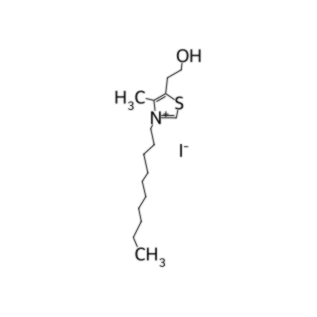 CCCCCCCCCC[n+]1csc(CCO)c1C.[I-]